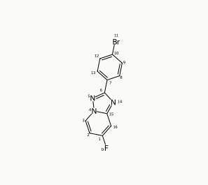 Fc1ccn2nc(-c3ccc(Br)cc3)nc2c1